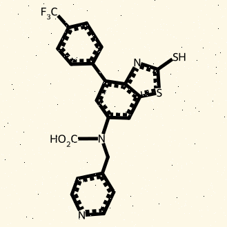 O=C(O)N(Cc1ccncc1)c1cc(-c2ccc(C(F)(F)F)cc2)c2nc(S)sc2c1